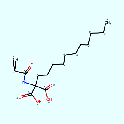 C=CC(=O)NC(CCCCCCCCCCC)(C(=O)O)C(=O)O